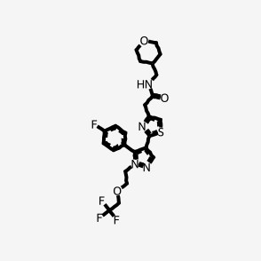 O=C(Cc1csc(-c2cnn(CCOCC(F)(F)F)c2-c2ccc(F)cc2)n1)NCC1CCOCC1